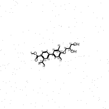 COC(=O)c1ccc(-c2cc(C)c(OCC(O)CO)c(C)c2)cc1C(C)C